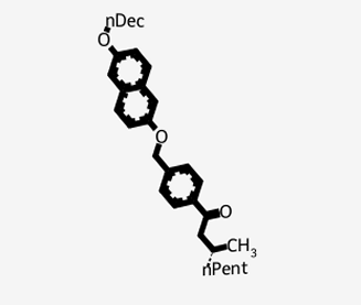 CCCCCCCCCCOc1ccc2cc(OCc3ccc(C(=O)C[C@H](C)CCCCC)cc3)ccc2c1